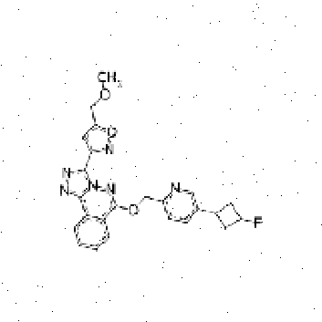 COCc1cc(-c2nnc3c4ccccc4c(OCc4ccc(C5CC(F)C5)cn4)nn23)no1